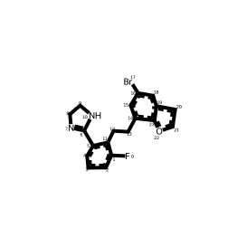 Fc1cccc(C2=NCCN2)c1CCc1cc(Br)cc2ccoc12